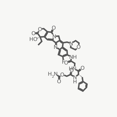 CC[C@@]1(O)C(=O)OCc2c1cc1n(c2=O)Cc2c-1nc1cc(F)c(NC(=O)CNC(=O)[C@H](Cc3ccccc3)NC(=O)COC(N)=O)cc1c2CN1CCOCC1